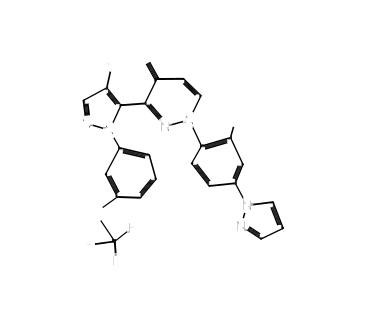 Cc1cnn(-c2cccc(OC(F)(F)F)c2)c1-c1nn(-c2ccc(-n3cccn3)cc2F)ccc1=O